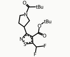 CC(C)(C)OC(=O)c1c(C2CCN(C(=O)C(C)(C)C)C2)nsc1C(F)F